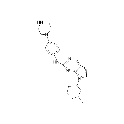 CC1CCCC(n2ccc3cnc(Nc4ccc(N5CCNCC5)cc4)nc32)C1